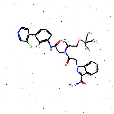 CC(CO[Si](C)(C)C(C)(C)C)N(CC(=O)Nc1cccc(-c2ccncc2Cl)c1F)C(=O)Cn1nc(C(N)=O)c2ccccc21